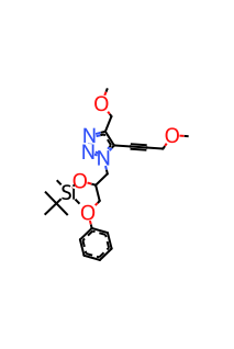 COCC#Cc1c(COC)nnn1CC(COc1ccccc1)O[Si](C)(C)C(C)(C)C